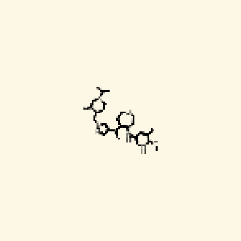 COC1NC=C(NC2=C(C(=N)c3cnn(CC4CCN(C(C)C)CC4F)c3)CCOCC2)C=C1F